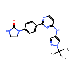 CC(C)(C#N)n1cc(Nc2ccnc(-c3ccc(N4CCNC4=O)cc3)n2)cn1